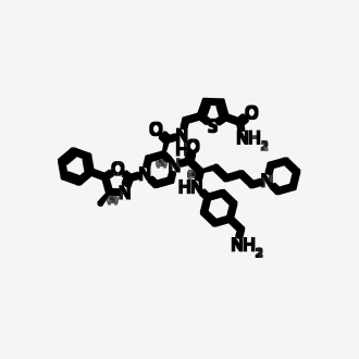 C[C@@H]1N=C(N2CCN(C(=O)[C@@H](CCCCN3CCCCC3)NC3CCC(CN)CC3)[C@H](C(=O)NCc3ccc(C(N)=O)s3)C2)OC1c1ccccc1